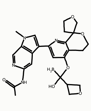 BC(O)(Oc1cc(-c2cn(C)c3cnc(NC(C)=O)cc23)nc2c1CCOC21CCOC1)C1COC1